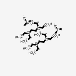 C[S+](C)[O-].C[S+](C)[O-].O=C(O)CN(CCN(CC(=O)O)CC(=O)O)CC(=O)O.O=C(O)CN(CCN(CC(=O)O)CC(=O)O)CC(=O)O